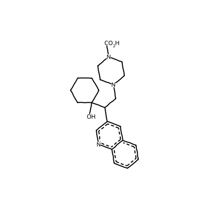 O=C(O)N1CCN(CC(c2cnc3ccccc3c2)C2(O)CCCCC2)CC1